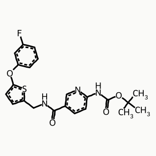 CC(C)(C)OC(=O)Nc1ccc(C(=O)NCc2ccc(Oc3cccc(F)c3)s2)cn1